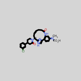 CN(C(=O)O)c1ccc2c(c1)NC(=O)CCC=CC[C@H](N1CCC(c3cccc(Cl)c3)CC1=O)c1nc-2c[nH]1